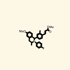 COC(=O)/C=C/c1ccc(C2c3ccc(OC)cc3CC(C)N2c2ccc(F)cc2)cc1C